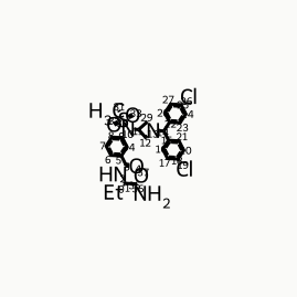 CC[C@H](NC(=O)c1cccc(N(C2CN(C(c3ccc(Cl)cc3)c3ccc(Cl)cc3)C2)S(C)(=O)=O)c1)C(N)=O